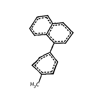 Cc1ccc(-c2cccc3ccccc23)cc1